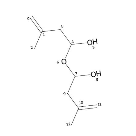 C=C(C)CC(O)OC(O)CC(=C)C